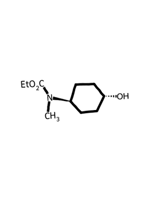 CCOC(=O)N(C)[C@H]1CC[C@H](O)CC1